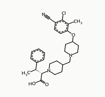 Cc1c(OC2CCN(CC3CCN([C@H](C(=O)O)C(C)c4ccccc4)CC3)CC2)ccc(C#N)c1Cl